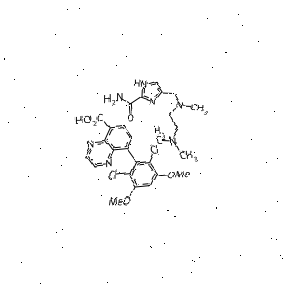 CN(C)CCN(C)Cc1c[nH]c(C(N)=O)n1.COc1cc(OC)c(Cl)c(-c2ccc(C(=O)O)c3nccnc23)c1Cl